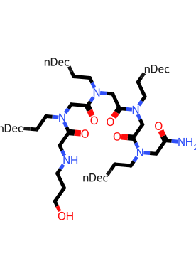 CCCCCCCCCCCCN(CC(N)=O)C(=O)CN(CCCCCCCCCCCC)C(=O)CN(CCCCCCCCCCCC)C(=O)CN(CCCCCCCCCCCC)C(=O)CNCCCO